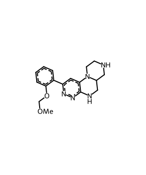 COCOc1ccccc1-c1cc2c(nn1)NCC1CNCCN21